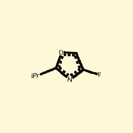 CC(C)c1nc(F)co1